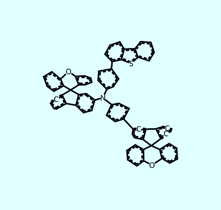 c1ccc2c(c1)Oc1ccccc1C21c2ccccc2-c2cc(-c3ccc(N(c4ccc(-c5cccc6c5sc5ccccc56)cc4)c4ccc5c(c4)C4(c6ccccc6Oc6ccccc64)c4ccccc4-5)cc3)ccc21